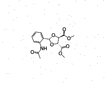 COC(=O)[C@@H]1OC(c2ccccc2NC(C)=O)O[C@H]1C(=O)OC